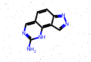 Nc1ncc2ccc3nncc3c2[nH]1